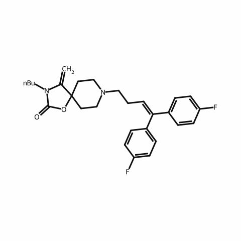 C=C1N(CCCC)C(=O)OC12CCN(CCC=C(c1ccc(F)cc1)c1ccc(F)cc1)CC2